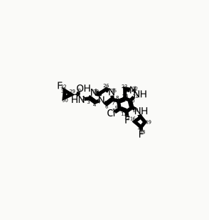 OC(Nc1cn2cc(-c3c(Cl)c(F)c(NC4CC(F)C4)c4[nH]ncc34)ncc2n1)[C@@H]1C[C@@H]1F